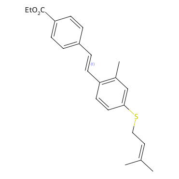 CCOC(=O)c1ccc(/C=C/c2ccc(SCC=C(C)C)cc2C)cc1